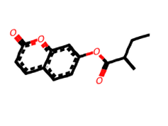 CCC(C)C(=O)Oc1ccc2ccc(=O)oc2c1